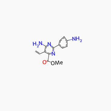 C=Cc1c(N)nc(-c2ccc(N)cc2)nc1C(=O)OC